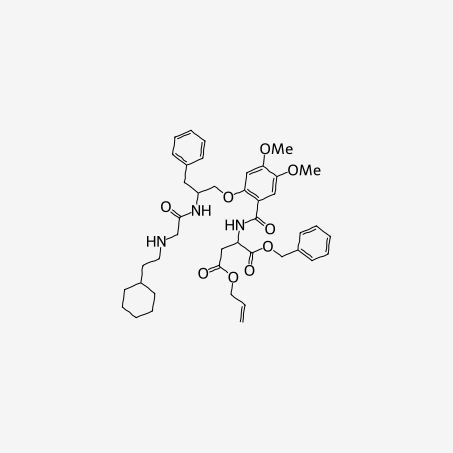 C=CCOC(=O)CC(NC(=O)c1cc(OC)c(OC)cc1OCC(Cc1ccccc1)NC(=O)CNCCC1CCCCC1)C(=O)OCc1ccccc1